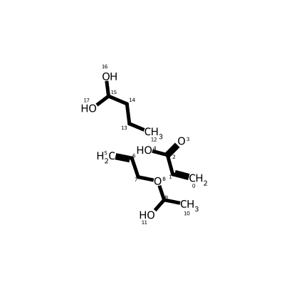 C=CC(=O)O.C=CCOC(C)O.CCCC(O)O